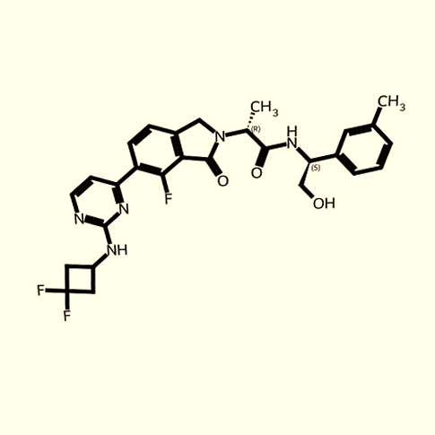 Cc1cccc([C@@H](CO)NC(=O)[C@@H](C)N2Cc3ccc(-c4ccnc(NC5CC(F)(F)C5)n4)c(F)c3C2=O)c1